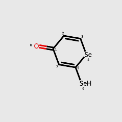 O=c1cc[se]c([SeH])c1